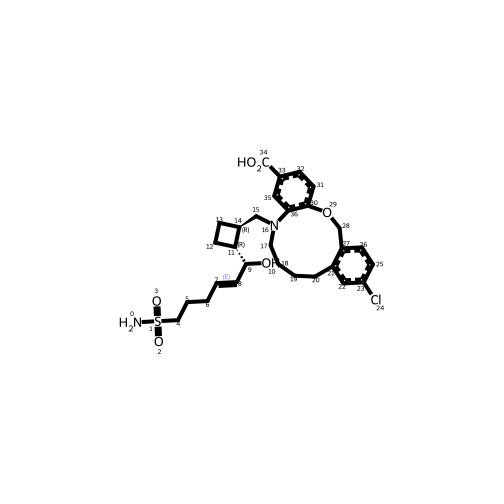 NS(=O)(=O)CCC/C=C/C(O)[C@@H]1CC[C@H]1CN1CCCCc2cc(Cl)ccc2COc2ccc(C(=O)O)cc21